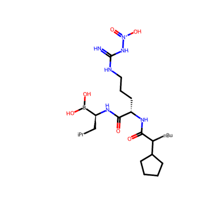 CCCCC(C(=O)N[C@@H](CCCNC(=N)N[N+](=O)O)C(=O)N[C@@H](CC(C)C)B(O)O)C1CCCC1